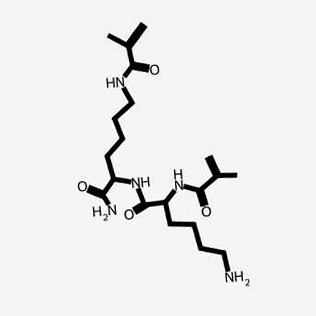 C=C(C)C(=O)NCCCCC(NC(=O)C(CCCCN)NC(=O)C(=C)C)C(N)=O